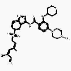 C=C/C(Cl)=C\C(Cl)=C/CS(=O)(=O)c1ccc2[nH]nc(NC(=O)c3ccc(N4CCN(C)CC4)cc3NC3CCOCC3)c2n1